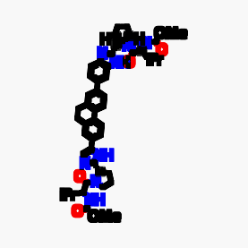 COC(=O)NC(C(=O)N1CCC[C@H]1c1ncc(-c2ccc3c(c2)CCc2cc(-c4ccc5nc([C@@H]6[C@H]7CC[C@H](C7)N6C(=O)[C@@H](NC(=O)OC)C(C)C)[nH]c5c4)ccc2-3)[nH]1)C(C)C